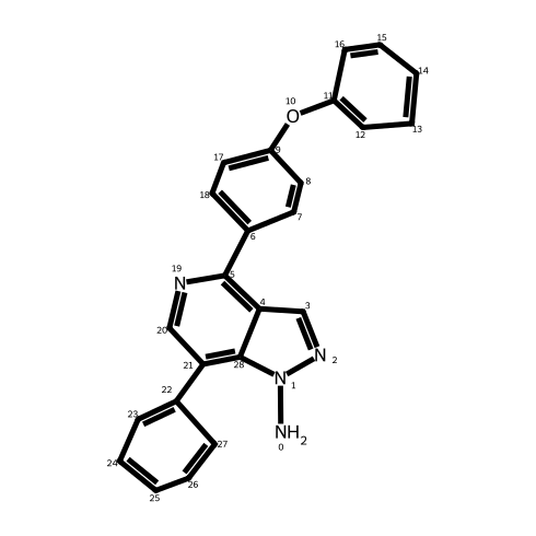 Nn1ncc2c(-c3ccc(Oc4ccccc4)cc3)ncc(-c3ccccc3)c21